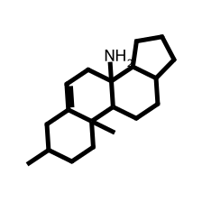 CC1CCC2(C)C(=CCC3(N)C4CCCC4CCC23)C1